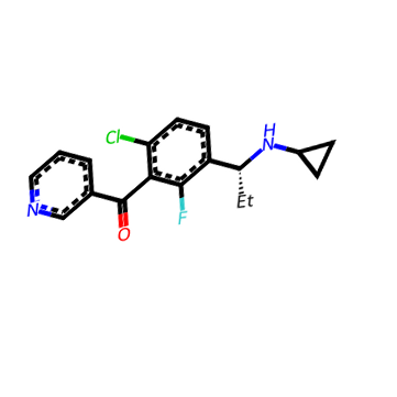 CC[C@@H](NC1CC1)c1ccc(Cl)c(C(=O)c2cccnc2)c1F